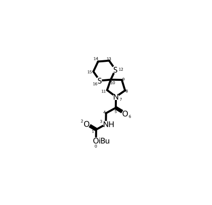 CC(C)COC(=O)NCC(=O)N1CCC2(C1)SCCCS2